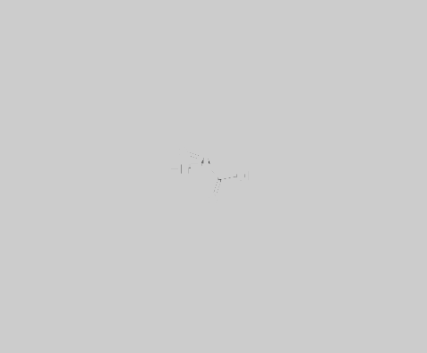 O=C(O)O.[LiH].[O]=[Ti]